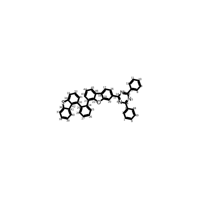 c1ccc(-c2nc(-c3ccccc3)nc(-c3ccc4c(c3)oc3c(-c5ccccc5-c5cccc6sc7ccccc7c56)cccc34)n2)cc1